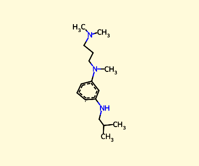 CC(C)CNc1[c]ccc(N(C)CCCN(C)C)c1